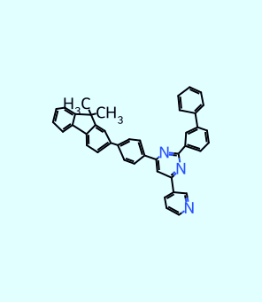 CC1(C)c2ccccc2-c2ccc(-c3ccc(-c4cc(-c5cccnc5)nc(-c5cccc(-c6ccccc6)c5)n4)cc3)cc21